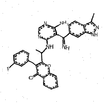 Cc1n[nH]c2cc(C(=N)c3c(N)ncnc3NC(C)c3oc4ccccc4c(=O)c3-c3cccc(F)c3)ccc12